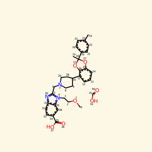 COCCn1c(CN2CCC(c3cccc4c3OC(C)(c3ccc(C)cc3)O4)CC2)nc2ccc(C(=O)O)cc21.O=CO